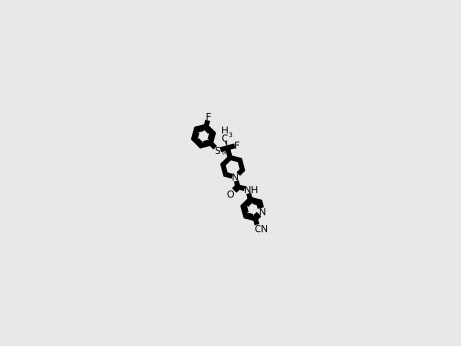 C[C@@](F)(Sc1cccc(F)c1)C1CCN(C(=O)Nc2ccc(C#N)nc2)CC1